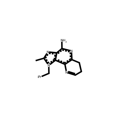 Cc1nc2c(N)nc3c(c2n1CC(C)C)N=CCC3